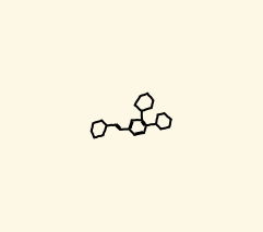 C(=CC1CCCCC1)c1ccc(C2CCCCC2)c(C2CCCCC2)c1